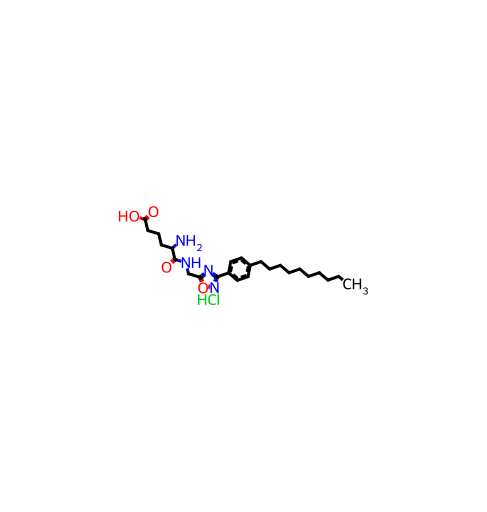 CCCCCCCCCCc1ccc(-c2noc(CNC(=O)C(N)CCCC(=O)O)n2)cc1.Cl